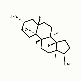 CC(=O)O[C@@H]1C[C@@H]2CC[C@H]3[C@@H]4CC[C@H](OC(C)=O)[C@@]4(C)CC[C@@H]3[C@@]2(CO)[C@H](C)C1